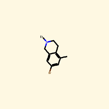 CCN1CCc2c(C)cc(Br)cc2C1